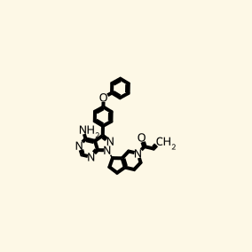 C=CC(=O)N1CCC2=C(C1)[C@@H](n1nc(-c3ccc(Oc4ccccc4)cc3)c3c(N)ncnc31)CC2